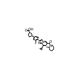 CC1CCCCCN1C(=O)c1cc(C2CC2)c2nc(-c3ccc(N4CCC(C(=O)O)C4)cc3F)cn2c1